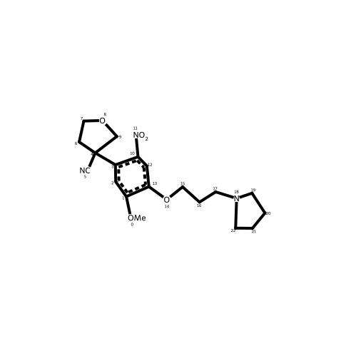 COc1cc(C2(C#N)CCOC2)c([N+](=O)[O-])cc1OCCCN1CCCC1